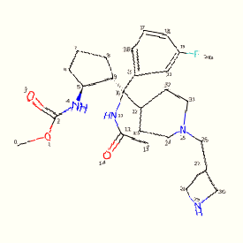 COC(=O)N[C@H]1CCC[C@@H]1C(NC(C)=O)(c1cccc(F)c1)C1CCN(CC2CNC2)CC1